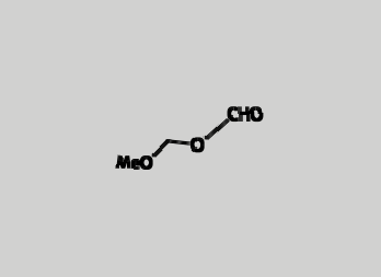 COCOC=O